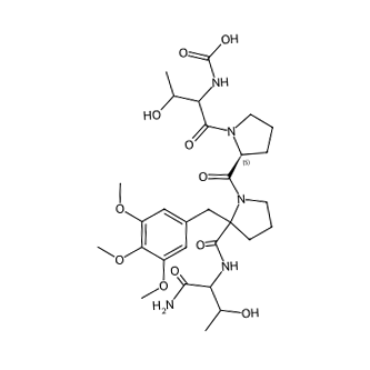 COc1cc(CC2(C(=O)NC(C(N)=O)C(C)O)CCCN2C(=O)[C@@H]2CCCN2C(=O)C(NC(=O)O)C(C)O)cc(OC)c1OC